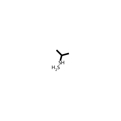 CC(C)S.S